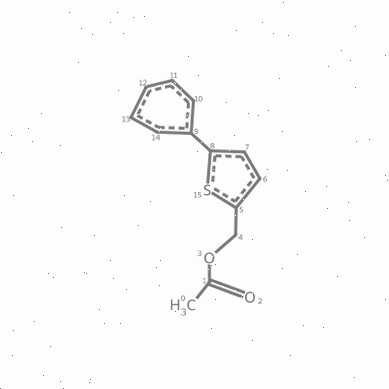 CC(=O)OCc1ccc(-c2ccccc2)s1